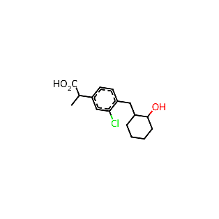 CC(C(=O)O)c1ccc(CC2CCCCC2O)c(Cl)c1